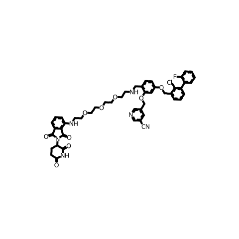 N#Cc1cncc(COc2cc(OCc3cccc(-c4ccccc4F)c3Cl)ccc2CNCCOCCOCCOCCNc2cccc3c2C(=O)N(C2CCC(=O)NC2=O)C3=O)c1